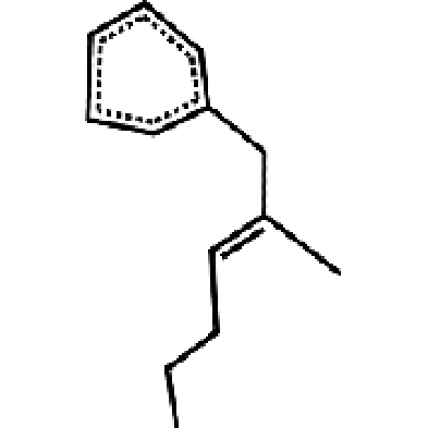 CCCC=C(C)Cc1ccccc1